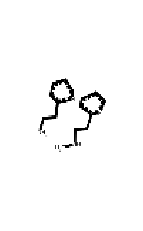 CNCCc1ccccn1.NCCc1ccccn1